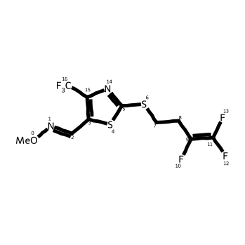 CON=Cc1sc(SCCC(F)=C(F)F)nc1C(F)(F)F